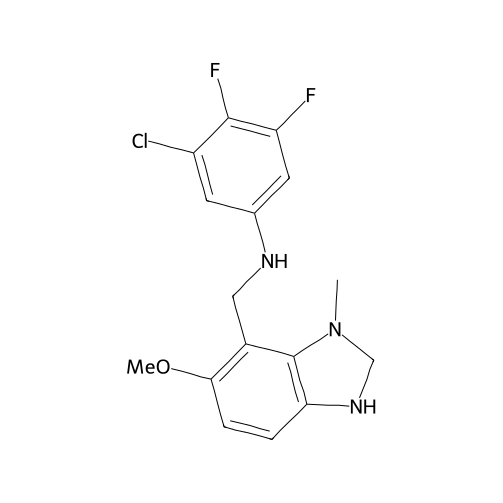 COc1ccc2c(c1CNc1cc(F)c(F)c(Cl)c1)N(C)CN2